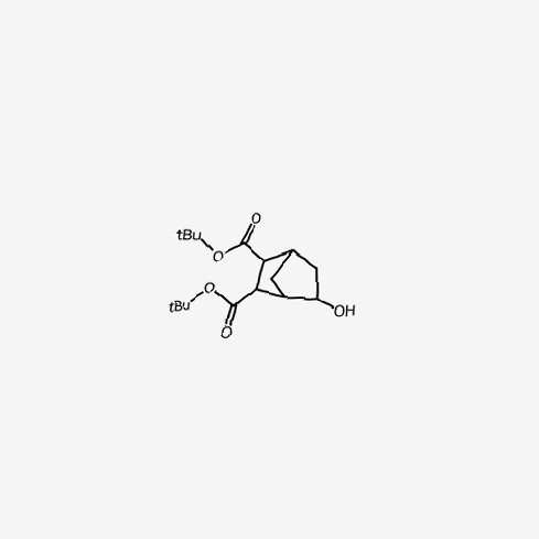 CC(C)(C)OC(=O)C1C2CC(O)C(C2)C1C(=O)OC(C)(C)C